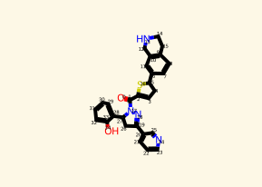 O=C(C1=CCC(c2ccc3c(c2)CNCC3)S1)N1N=C(c2cccnc2)CC1c1ccccc1O